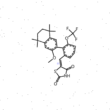 COc1cc2c(cc1-c1c(/C=C3/SC(=O)NC3=O)cccc1OC(F)(F)F)C(C)(C)CCC2(C)C